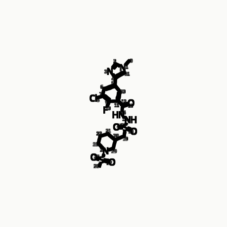 Cn1cnc(-c2cc(Cl)c(F)c(C(=O)NNS(=O)(=O)CC3CCCN(S(C)(=O)=O)C3)c2)c1